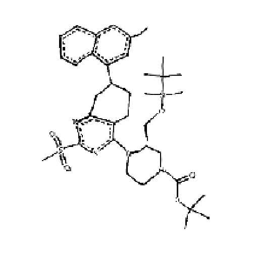 Cc1cc(C2CCc3c(nc(S(C)(=O)=O)nc3N3CCN(C(=O)OC(C)(C)C)C[C@@H]3CO[Si](C)(C)C(C)(C)C)C2)c2ccccc2c1